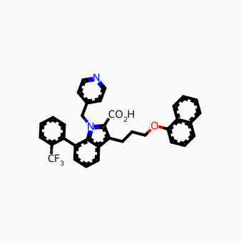 O=C(O)c1c(CCCOc2cccc3ccccc23)c2cccc(-c3ccccc3C(F)(F)F)c2n1Cc1ccncc1